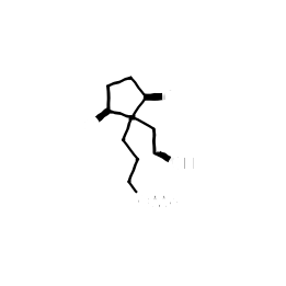 C=CCC1(CCCOC)C(=O)CCC1=O